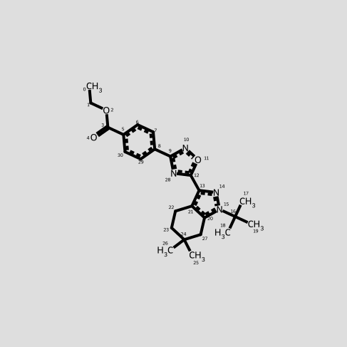 CCOC(=O)c1ccc(-c2noc(-c3nn(C(C)(C)C)c4c3CCC(C)(C)C4)n2)cc1